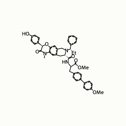 CC[C@@H](c1ccccc1)N1Cc2cc3c(cc2C[C@H]1C(=O)NC(Cc1ccc(-c2ccc(OC)cc2)cc1)C(=O)OC)N(C)C(=O)[C@@H](c1ccc(O)cc1)O3